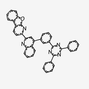 c1ccc(-c2nc(-c3ccccc3)nc(-c3cccc(-c4cc(-c5ccc6c(n5)oc5ccccc56)nc5ccccc45)c3)n2)cc1